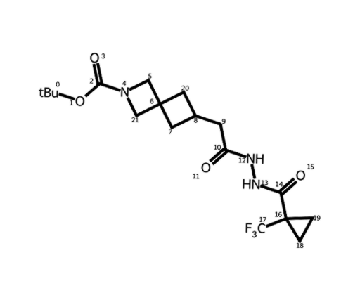 CC(C)(C)OC(=O)N1CC2(CC(CC(=O)NNC(=O)C3(C(F)(F)F)CC3)C2)C1